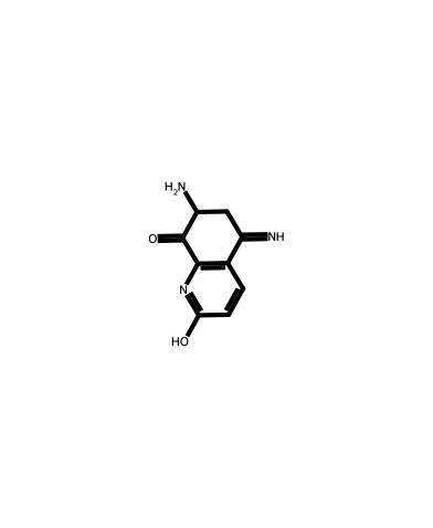 N=C1CC(N)C(=O)c2nc(O)ccc21